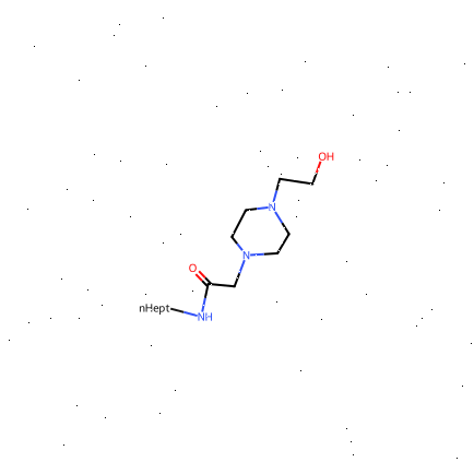 CCCCCCCNC(=O)CN1CCN(CCO)CC1